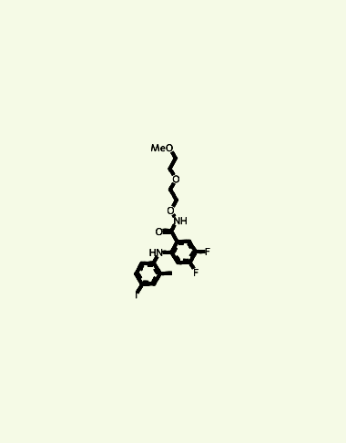 COCCOCCONC(=O)c1cc(F)c(F)cc1Nc1ccc(I)cc1C